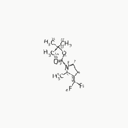 CC1C(=C(F)F)CCN1C(=O)OC(C)(C)C